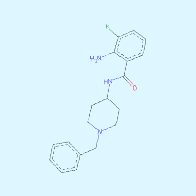 Nc1c(F)cccc1C(=O)NC1CCN(Cc2ccccc2)CC1